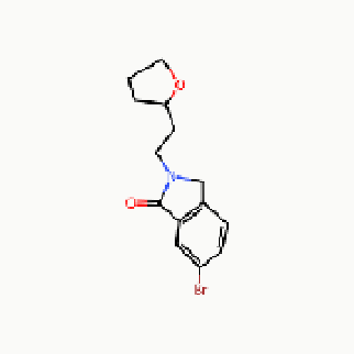 O=C1c2cc(Br)ccc2CN1CCC1CCCO1